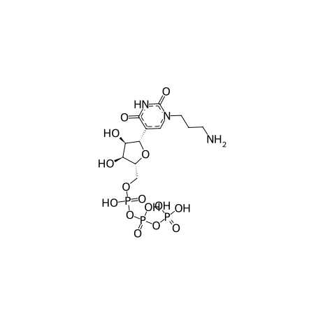 NCCCn1cc([C@@H]2O[C@H](COP(=O)(O)OP(=O)(O)OP(=O)(O)O)[C@@H](O)[C@H]2O)c(=O)[nH]c1=O